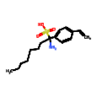 C=Cc1ccc(C(N)(CCCCCCC)S(=O)(=O)O)cc1